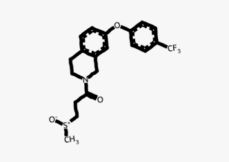 C[S+]([O-])CCC(=O)N1CCc2ccc(Oc3ccc(C(F)(F)F)cc3)cc2C1